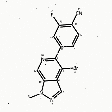 Cn1ncc2c(Br)c(-c3ccc(C#N)c(F)c3)ncc21